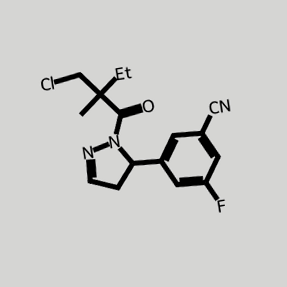 CCC(C)(CCl)C(=O)N1N=CCC1c1cc(F)cc(C#N)c1